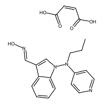 CCCN(c1ccncc1)n1cc(C=NO)c2ccccc21.O=C(O)/C=C\C(=O)O